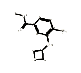 COC(=O)c1ccc(N)c(OC2COC2)c1